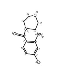 Nc1cc(Br)ccc1C(=O)N1CCOCC1